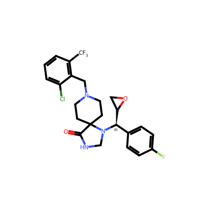 O=C1NCN([C@H](c2ccc(F)cc2)C2CO2)C12CCN(Cc1c(Cl)cccc1C(F)(F)F)CC2